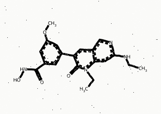 CCNc1cc2c(cn1)cc(-c1cc(OC)cc(C(=O)NO)c1)c(=O)n2CC